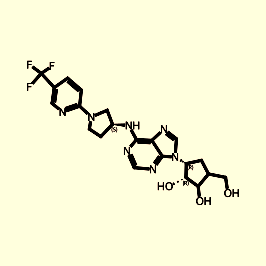 OCC1C[C@@H](n2cnc3c(N[C@H]4CCN(c5ccc(C(F)(F)F)cn5)C4)ncnc32)[C@@H](O)C1O